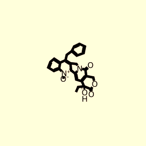 CC[C@@]1(O)C(=O)OCc2c1cc1n(c2=O)Cc2c(Cc3ccccc3)c3ccccc3[n+]([O-])c2-1